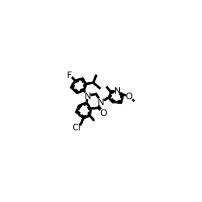 COc1ccc(N2CN(c3ccc(F)cc3C(C)C)c3ccc(Cl)c(C)c3C2=O)c(C)n1